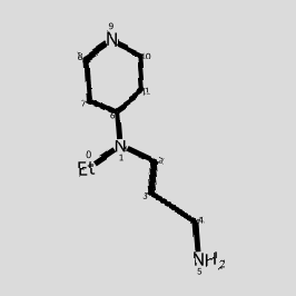 CCN(CCCN)C1CC[N]CC1